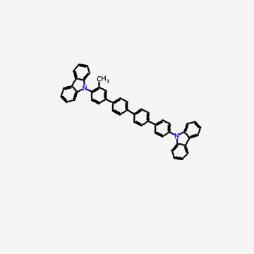 Cc1cc(-c2ccc(-c3ccc(-c4ccc(-n5c6ccccc6c6ccccc65)cc4)cc3)cc2)ccc1-n1c2ccccc2c2ccccc21